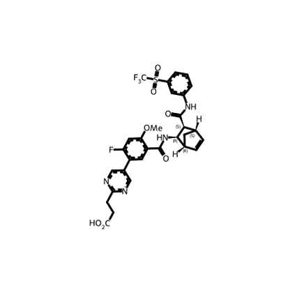 COc1cc(F)c(-c2cnc(CCC(=O)O)nc2)cc1C(=O)N[C@H]1[C@@H](C(=O)Nc2cccc(S(=O)(=O)C(F)(F)F)c2)[C@@H]2C=C[C@H]1C2